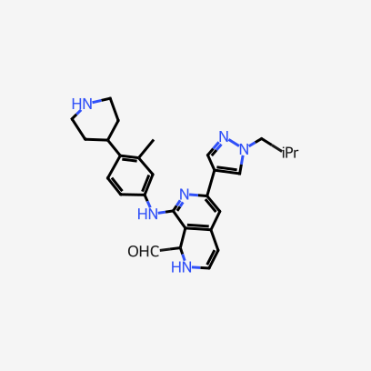 Cc1cc(Nc2nc(-c3cnn(CC(C)C)c3)cc3c2C(C=O)NC=C3)ccc1C1CCNCC1